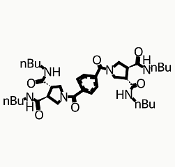 CCCCNC(=O)[C@@H]1CN(C(=O)c2ccc(C(=O)N3C[C@@H](C(=O)NCCCC)[C@H](C(=O)NCCCC)C3)cc2)C[C@H]1C(=O)NCCCC